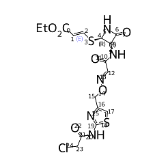 CCOC(=O)/C=C/S[C@H]1NC(=O)[C@H]1NC(=O)C=NOCc1csc(NC(=O)CCl)n1